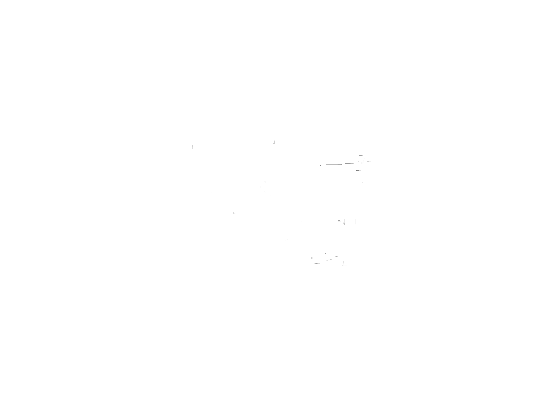 BrCC1(c2ccccc2)NC=CS1